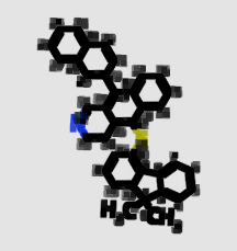 CC1(C)c2ccccc2-c2c(Sc3c4ccccc4c(-c4ccc5ccccc5c4)c4cnccc34)cccc21